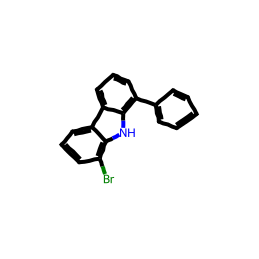 Brc1cccc2c1[nH]c1c(-c3ccccc3)cccc12